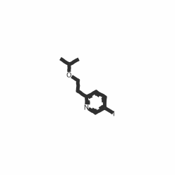 CC(C)OCCc1ccc(I)cn1